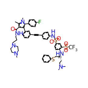 Cc1c(C(=O)NCCCN2CCN(C)CC2)c(-c2cccc(C#Cc3ccc(NS(=O)(=O)c4ccc(N[C@H](CCN(C)C)CSc5ccccc5)c(S(=O)(=O)C(F)(F)F)c4)cc3)c2)c(-c2ccc(F)cc2)n1C